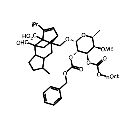 CCCCCCCCOC(=O)O[C@H]1[C@H](OC(=O)OCc2ccccc2)[C@H](OCC23CC4C(C)CCC4C4(C=O)CC2C=C(C(C)C)C43C(=O)O)O[C@H](C)[C@H]1OC